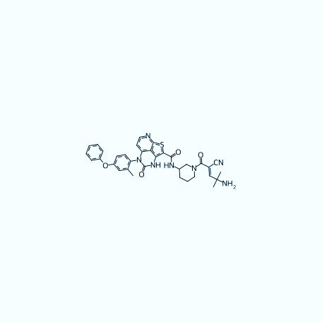 Cc1cc(Oc2ccccc2)ccc1N1C(=O)Nc2c(C(=O)NC3CCCN(C(=O)C(C#N)=CC(C)(C)N)C3)sc3nccc1c23